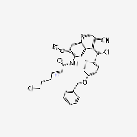 CCOc1cc2ncc(C#N)c(N(Cl)c3ccc(OCc4ccccc4)cc3)c2cc1NC(=O)/C=C/CCCCl